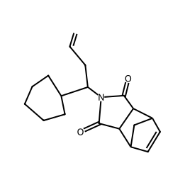 C=CCC(C1CCCCC1)N1C(=O)C2C3C=CC(C3)C2C1=O